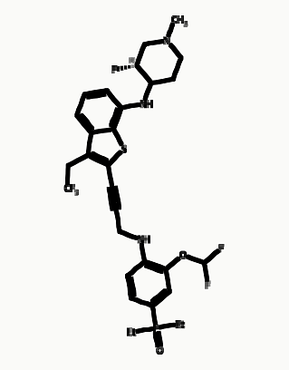 CCP(=O)(CC)c1ccc(NCC#Cc2sc3c(NC4CCN(C)C[C@H]4F)cccc3c2CC(F)(F)F)c(OC(F)F)c1